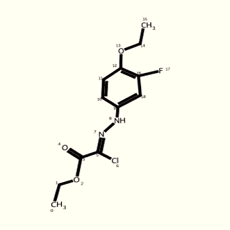 CCOC(=O)/C(Cl)=N/Nc1ccc(OCC)c(F)c1